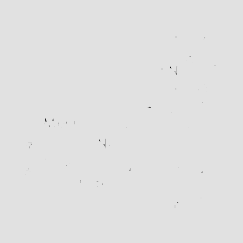 COc1nc(/C(=C/C2CCCC2)c2ccc(C3=NC(C)(C)CO3)cc2)ccc1C1CC1